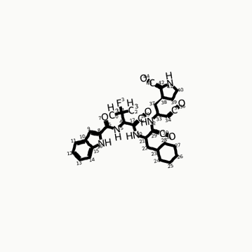 CC(C)(F)C(NC(=O)c1cc2ccccc2[nH]1)C(=C=O)NC(CC1CCCCC1)C(=C=O)NC(C=C=O)C[C@@H]1CCNC1=C=O